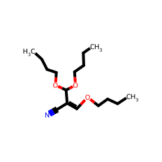 CCCCOC=C(C#N)C(OCCCC)OCCCC